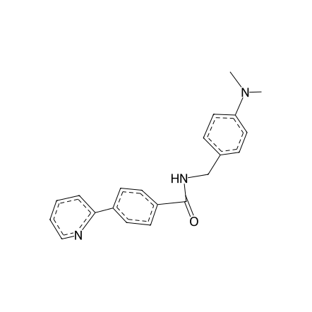 CN(C)c1ccc(CNC(=O)c2ccc(-c3ccccn3)cc2)cc1